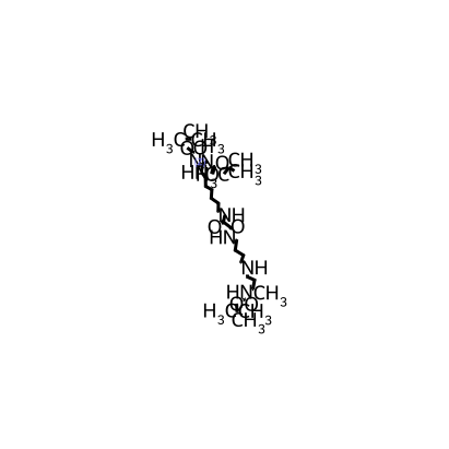 CC(CCNCCCCNC(=O)C(=O)NCCCCCCN/C(=N/C(=O)OC(C)(C)C)NC(=O)OC(C)(C)C)NC(=O)OC(C)(C)C